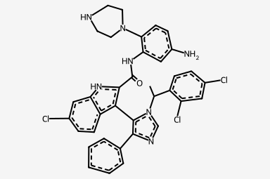 CC(c1ccc(Cl)cc1Cl)n1cnc(-c2ccccc2)c1-c1c(C(=O)Nc2cc(N)ccc2N2CCNCC2)[nH]c2cc(Cl)ccc12